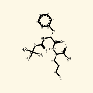 CC(C)(C)OC(=O)N[C@H](Cc1ccccc1)C(=O)N[C@H](CCCF)C(=O)O